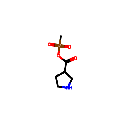 CS(=O)(=O)OC(=O)C1CCNC1